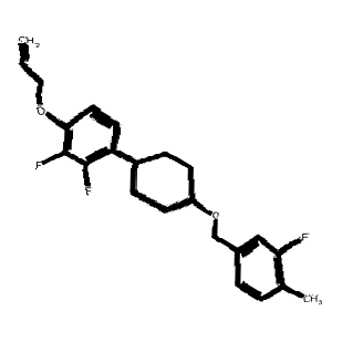 C=CCOc1ccc(C2CCC(OCc3ccc(C)c(F)c3)CC2)c(F)c1F